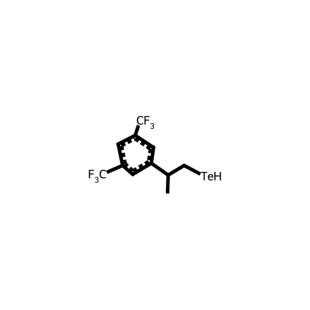 CC(C[TeH])c1cc(C(F)(F)F)cc(C(F)(F)F)c1